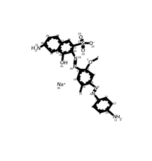 COc1cc(N=Nc2ccc(N)cc2)c(C)cc1N=Nc1c(S(=O)(=O)[O-])cc2ccc(N)cc2c1O.[Na+]